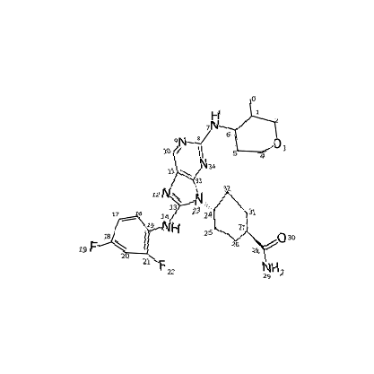 CC1COCCC1Nc1ncc2nc(Nc3ccc(F)cc3F)n([C@H]3CC[C@H](C(N)=O)CC3)c2n1